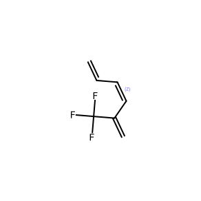 C=C/C=C\C(=C)C(F)(F)F